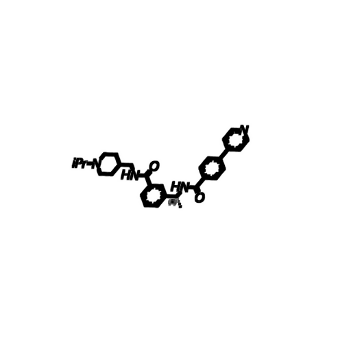 CC(C)N1CCC(CNC(=O)c2cccc([C@@H](C)NC(=O)c3ccc(-c4ccncc4)cc3)c2)CC1